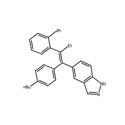 CCCCc1ccc(/C(=C(/CC)c2ccccc2C(C)C)c2ccc3[nH]ncc3c2)cc1